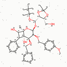 COc1ccc(CO[C@@H]2[C@H](OC(O[Si](C)(C)C(C)(C)C)[C@@H]3OC(C)(C)O[C@@H]3CO)O[C@@H]3C(O)C(c4ccccc4)[C@]3(O)[C@@H]2OCc2ccccc2)cc1